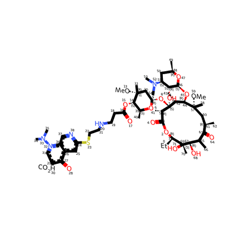 CC[C@H]1OC(=O)[C@H](C)[C@@H](O[C@H]2C[C@@](C)(OC)[C@@H](OC(=O)CCNCCSc3cc4c(=O)c(C(=O)O)cn(N(C)C)c4cn3)[C@H](C)O2)[C@H](C)[C@@H](O[C@@H]2O[C@H](C)C[C@H](N(C)C)[C@H]2O)[C@](C)(OC)C[C@@H](C)C(=O)C(C)[C@@H](O)[C@]1(C)O